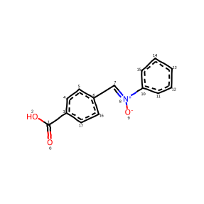 O=C(O)c1ccc(C=[N+]([O-])c2ccccc2)cc1